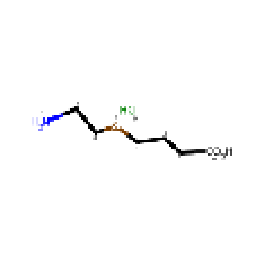 Cl.NCCSCCCC(=O)O